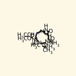 CC(C)C[C@H]1C(=O)N[C@H](C(N)=O)C[C@@H]2C[C@@H](C/C=C/C[C@H](NC(=O)OC(C)(C)C)C(=O)N1C)NC2=O